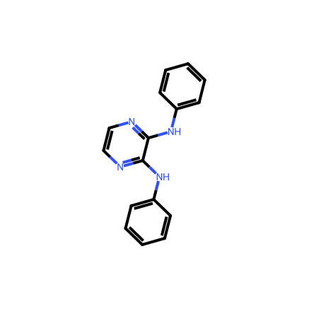 c1ccc(Nc2nccnc2Nc2ccccc2)cc1